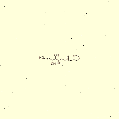 OCC[C@@H](O)C(O)[C@@H](O)CCNC[C@@H]1CCCO1